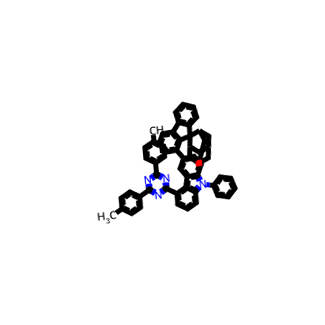 Cc1ccc(-c2nc(-c3ccc(C)cc3)nc(-c3cccc4c3c3cc(-c5cccc6c5C5(c7ccccc7-6)C6CC7CC(C6)CC5C7)ccc3n4-c3ccccc3)n2)cc1